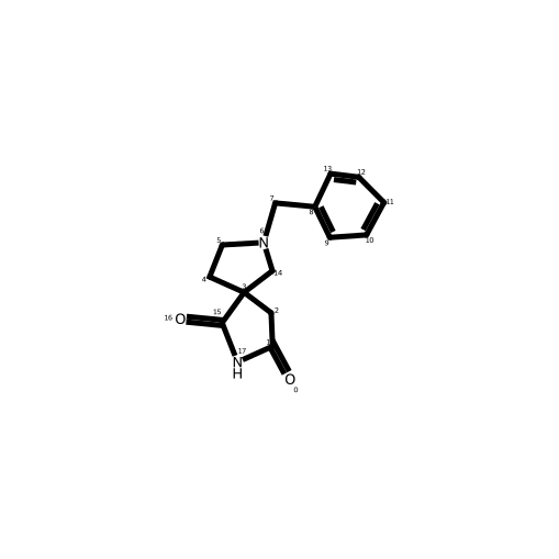 O=C1CC2(CCN(Cc3ccccc3)C2)C(=O)N1